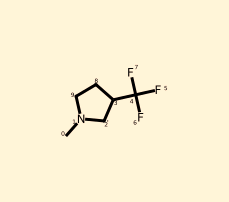 CN1[CH]C(C(F)(F)F)CC1